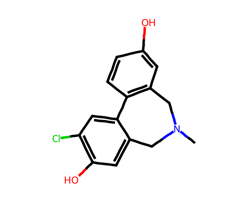 CN1Cc2cc(O)ccc2-c2cc(Cl)c(O)cc2C1